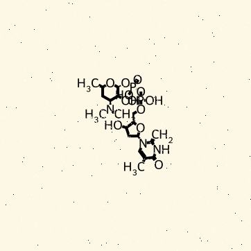 C=C1NC(=O)C(C)=CN1[C@H]1CC(O)[C@@H](COP(=O)(O)OP(=O)(O)O[C@H]2OC(C)C[C@H](N(C)C)C2O)O1